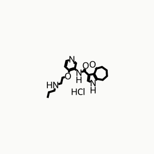 CCCNCCOc1ccncc1NC(=O)c1c[nH]c2c1C(=O)CCCC2.Cl